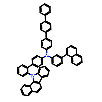 c1ccc(-c2ccc(-c3ccc(N(c4ccc(-c5ccccc5-n5c6ccccc6c6ccc7ccccc7c65)cc4)c4cccc(-c5cccc6ccccc56)c4)cc3)cc2)cc1